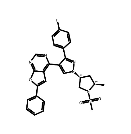 C[C@@H]1C[C@H](n2cc(-c3ncnc4oc(-c5ccccc5)cc34)c(-c3ccc(F)cc3)n2)CN1S(C)(=O)=O